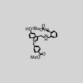 COC(=O)c1ccc(Cn2cc(CCNCc3ccccc3C#[N+]C(=O)OC(C)(C)C)c3cc(O)ccc32)cc1